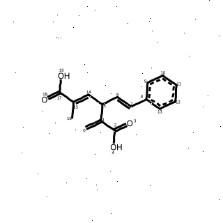 C=C(C(=O)O)C(C=Cc1ccccc1)C=C(C)C(=O)O